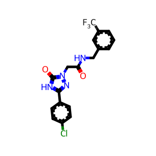 O=C(Cn1nc(-c2ccc(Cl)cc2)[nH]c1=O)NCc1cccc(C(F)(F)F)c1